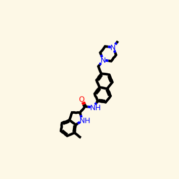 Cc1cccc2c1NC(C(=O)Nc1ccc3ccc(CN4CCN(C)CC4)cc3c1)C2